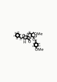 COCC1=C(C(=O)OCc2ccc(OC)cc2)N2C(=O)C(NC(=O)Cc3ccccc3)[C@@H]2SC1